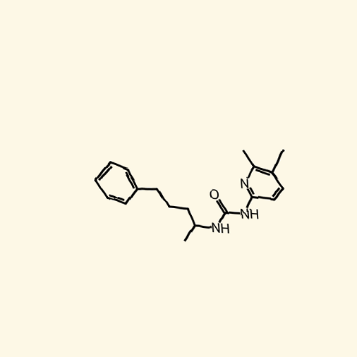 Cc1ccc(NC(=O)NC(C)CCCc2ccccc2)nc1C